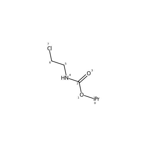 CC(C)OC(=O)NCCCl